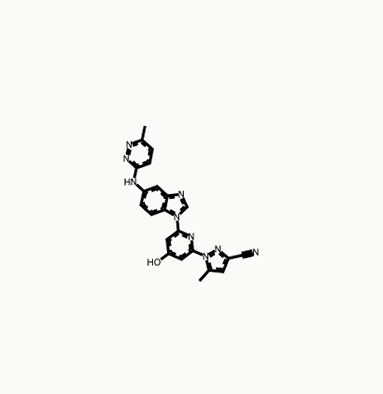 Cc1ccc(Nc2ccc3c(c2)ncn3-c2cc(O)cc(-n3nc(C#N)cc3C)n2)nn1